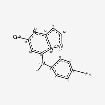 CN(c1ccc(F)cc1)c1cc(Cl)nc2ccnn12